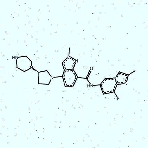 Cc1cn2cc(NC(=O)c3ccc(N4CC[C@@H](N5CCNCC5)C4)c4cn(C)nc34)cc(F)c2n1